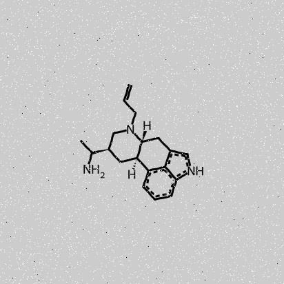 C=CCN1C[C@H](C(C)N)C[C@@H]2c3cccc4[nH]cc(c34)C[C@H]21